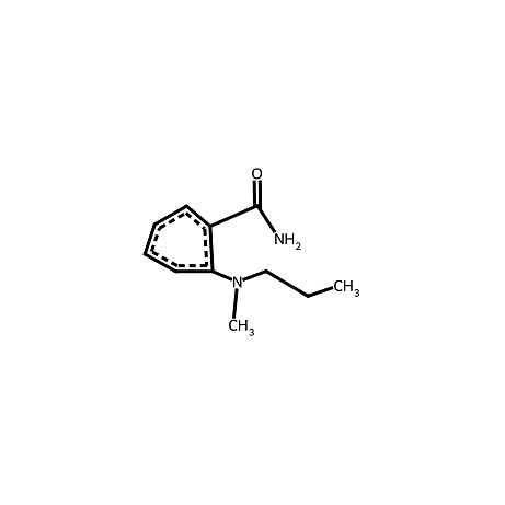 CCCN(C)c1ccccc1C(N)=O